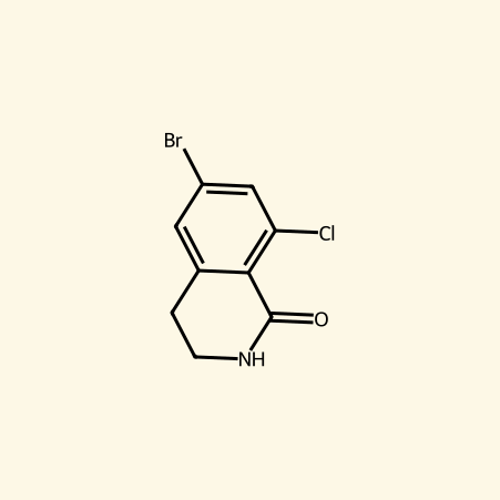 O=C1NCCc2cc(Br)cc(Cl)c21